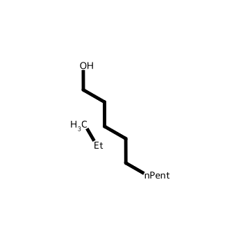 CCC.CCCCCCCCCCO